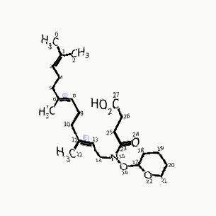 CC(C)=CCC/C(C)=C/CC/C(C)=C/CN(OC1CCCCO1)C(=O)CCC(=O)O